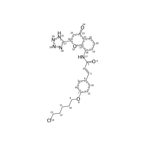 O=C(C=Cc1ccc(OCCCCCCl)cc1)Nc1cccc2c(=O)cc(-c3nnn[nH]3)oc12